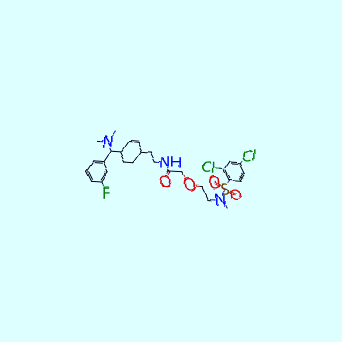 CN(C)C(c1cccc(F)c1)C1CCC(CCNC(=O)COCCN(C)S(=O)(=O)c2ccc(Cl)cc2Cl)CC1